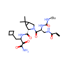 C=CC(=O)NC[C@H](NC(=O)NC(C)(C)C)C(=O)N1CC2C([C@H]1C(=O)NC(CC1CCC1)C(=O)C(N)=O)C2(C)C